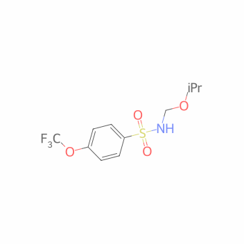 CC(C)OCNS(=O)(=O)c1ccc(OC(F)(F)F)cc1